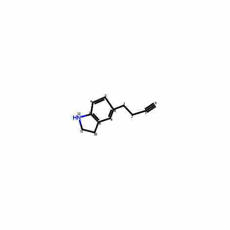 C#CCCc1ccc2c(c1)CCN2